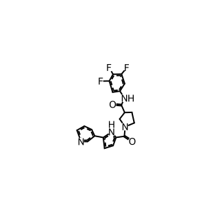 O=C(Nc1cc(F)c(F)c(F)c1)C1CCN(C(=O)c2ccc(-c3cccnc3)[nH]2)C1